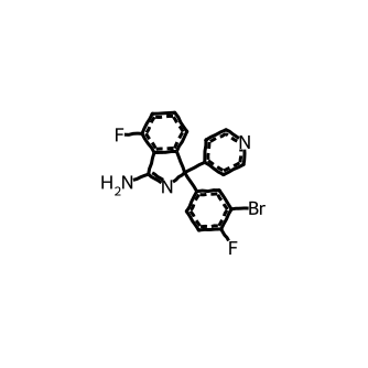 NC1=NC(c2ccncc2)(c2ccc(F)c(Br)c2)c2cccc(F)c21